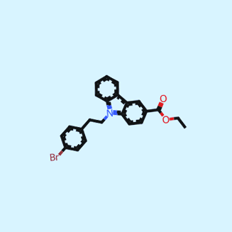 CCOC(=O)c1ccc2c(c1)c1ccccc1n2CCc1ccc(Br)cc1